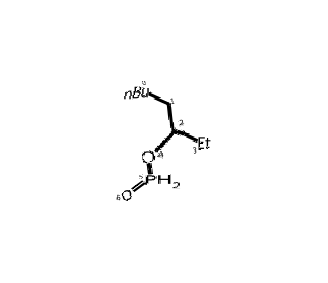 CCCCCC(CC)O[PH2]=O